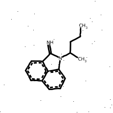 CCCC(C)N1C(=N)c2cccc3cccc1c23